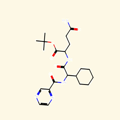 CC(C)(C)OC(=O)C(CCC(N)=O)NC(=O)C(NC(=O)c1cnccn1)C1CCCCC1